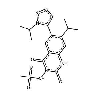 CC(C)c1cc2[nH]c(=O)n(NS(C)(=O)=O)c(=O)c2cc1-c1ccnn1C(C)C